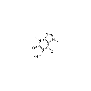 [2H]Cn1c(=O)c2c(ncn2C)n(C)c1=O